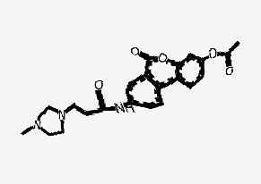 CC(=O)Oc1ccc2c(c1)oc(=O)c1cc(NC(=O)CCN3CCN(C)CC3)ccc12